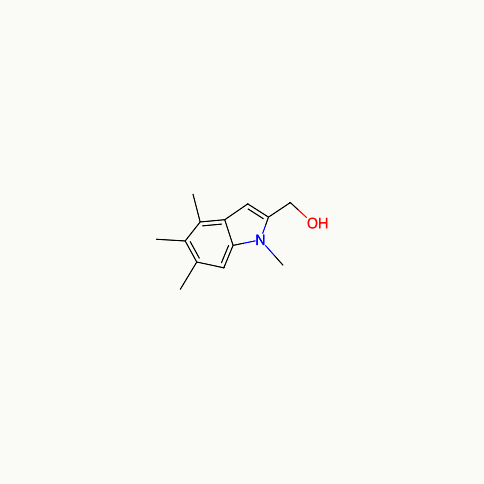 Cc1cc2c(cc(CO)n2C)c(C)c1C